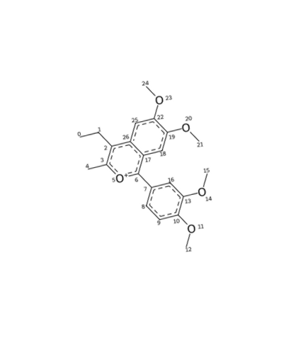 CCc1c(C)[o+]c(-c2ccc(OC)c(OC)c2)c2cc(OC)c(OC)cc12